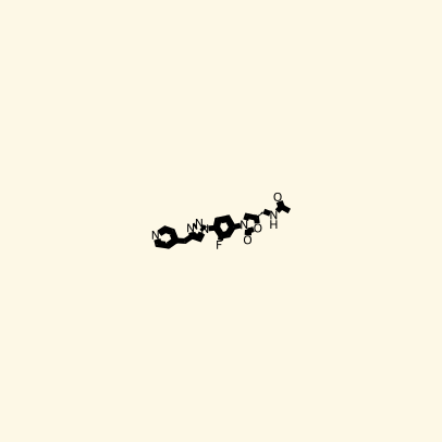 CC(=O)NC[C@H]1CN(c2ccc(-n3cc(Cc4ccncc4)nn3)c(F)c2)C(=O)O1